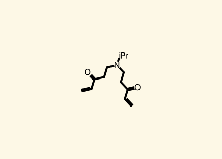 C=CC(=O)CCN(CCC(=O)C=C)C(C)C